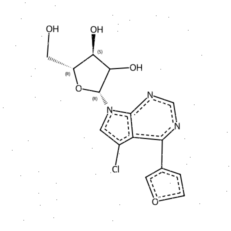 OC[C@H]1O[C@@H](n2cc(Cl)c3c(-c4ccoc4)ncnc32)C(O)[C@@H]1O